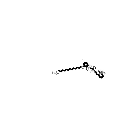 CCCCCCCCCCCCCCOc1cccc(OCC(=O)NCCc2cccc[n+]2C)c1Cl.[I-]